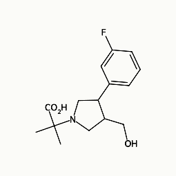 CC(C)(C(=O)O)N1CC(CO)C(c2cccc(F)c2)C1